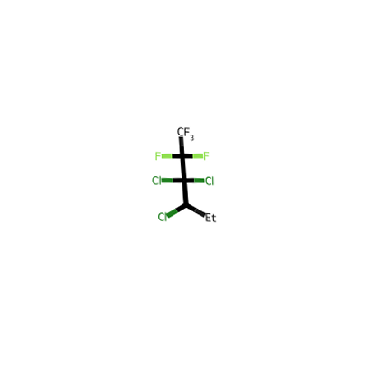 CCC(Cl)C(Cl)(Cl)C(F)(F)C(F)(F)F